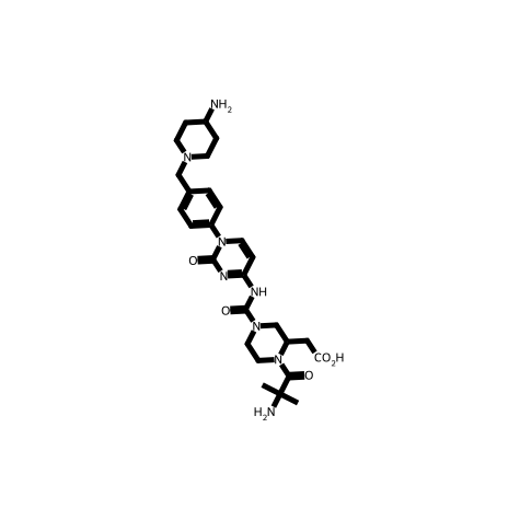 CC(C)(N)C(=O)N1CCN(C(=O)Nc2ccn(-c3ccc(CN4CCC(N)CC4)cc3)c(=O)n2)CC1CC(=O)O